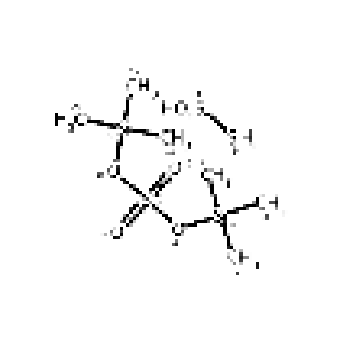 C[Si](C)(C)OS(=O)(=O)O[Si](C)(C)C.O=S(=O)(O)[SiH3]